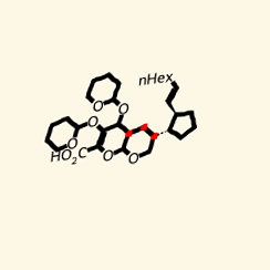 CCCCCC/C=C/[C@H]1CCC[C@@H]1CCCC(OC1CCCCO1)/C(OC1CCCCO1)=C(\OC1CCCCO1)C(=O)O